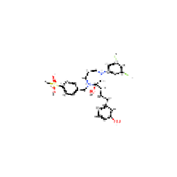 CS(=O)(=O)c1ccc(CN2CCCN(c3cc(F)cc(F)c3)CC2(O)CCCc2cccc(O)c2)cc1